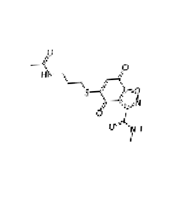 CNC(=O)c1noc2c1C(=O)C(SCCCNC(C)=O)=CC2=O